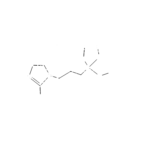 CCO[Si](CCCN1CCN=C1CC)(OCC)OCC.Cl